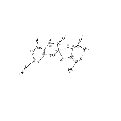 N#Cc1cc(F)c2c(c1)O[C@@]1(C[C@@H](C(N)=O)N(C(=O)O)C1)C(=O)N2